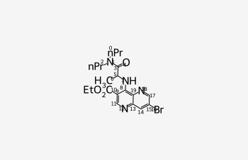 CCCN(CCC)C(=O)C(C)Nc1c(C(=O)OCC)cnc2cc(Br)cnc12